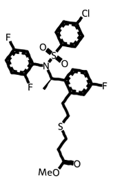 COC(=O)CCSCCc1cc(F)ccc1[C@@H](C)N(c1cc(F)ccc1F)S(=O)(=O)c1ccc(Cl)cc1